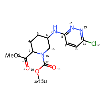 COC(=O)C1CCC(Nc2ccc(Cl)nn2)CN1C(=O)OC(C)(C)C